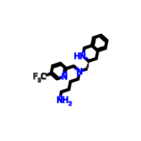 NCCCCN(Cc1ccc(C(F)(F)F)cn1)C[C@H]1Cc2ccccc2CN1